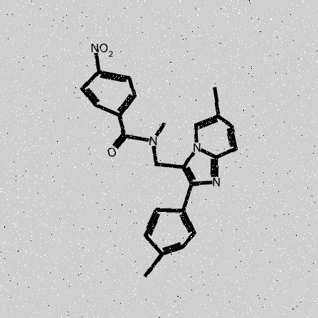 Cc1ccc(-c2nc3ccc(C)cn3c2CN(C)C(=O)c2ccc([N+](=O)[O-])cc2)cc1